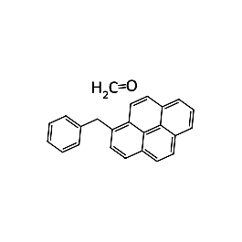 C=O.c1ccc(Cc2ccc3ccc4cccc5ccc2c3c45)cc1